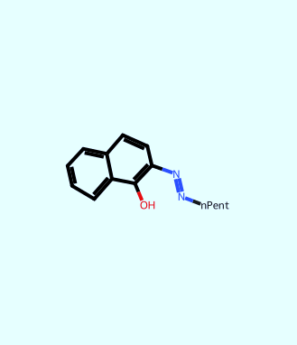 CCCCCN=Nc1ccc2ccccc2c1O